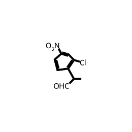 CC(C=O)c1ccc([N+](=O)[O-])cc1Cl